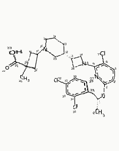 C[C@@H](Oc1ccc(Cl)c(N2CC([C@H]3CCCN(C4CC(C)(C(=O)O)C4)C3)C2)n1)c1ccc(Cl)cc1Cl